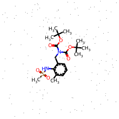 Cc1cccc(CN(C(=O)OC(C)(C)C)C(=O)OC(C)(C)C)c1NS(C)(=O)=O